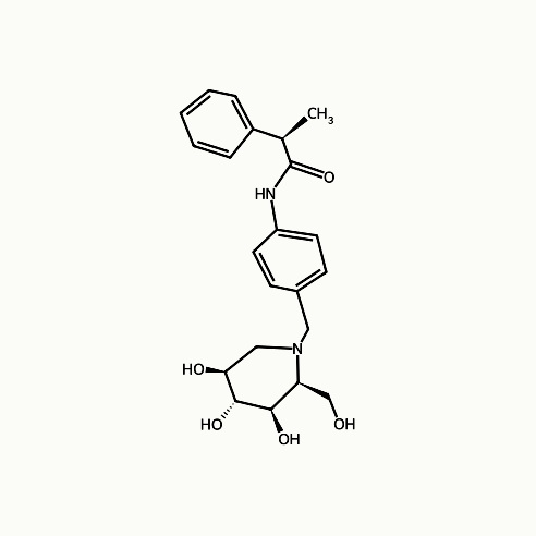 C[C@@H](C(=O)Nc1ccc(CN2C[C@H](O)[C@@H](O)[C@H](O)[C@@H]2CO)cc1)c1ccccc1